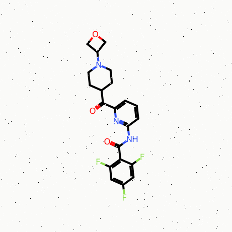 O=C(Nc1cccc(C(=O)C2CCN(C3COC3)CC2)n1)c1c(F)cc(F)cc1F